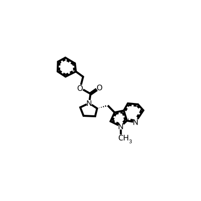 Cn1cc(C[C@@H]2CCCN2C(=O)OCc2ccccc2)c2cccnc21